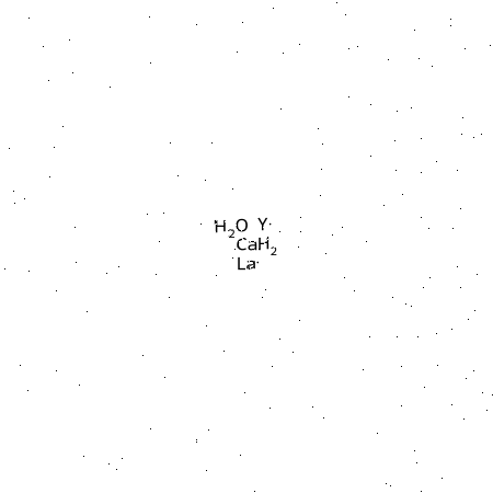 O.[CaH2].[La].[Y]